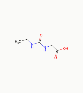 CCNC(=O)N[CH]C(=O)O